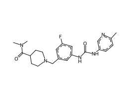 Cc1ccc(NC(=O)Nc2cc(F)cc(CN3CCC(C(=O)N(C)C)CC3)c2)cn1